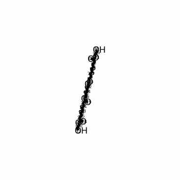 O=C(CCSCSCCCOOCSCSCOC(=O)CCSCSCCC(=O)OCCO)OCCO